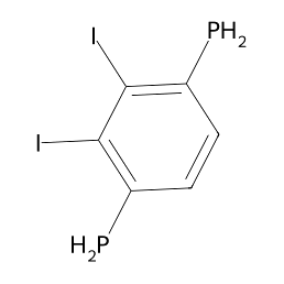 Pc1ccc(P)c(I)c1I